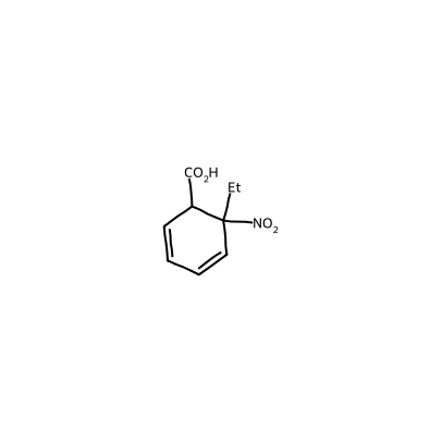 CCC1([N+](=O)[O-])C=CC=CC1C(=O)O